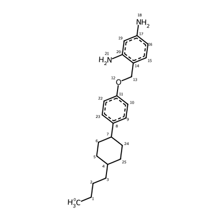 CCCCC1CCC(c2ccc(OCc3ccc(N)cc3N)cc2)CC1